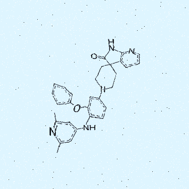 Cc1cc(Nc2ccc(N3CCC4(CC3)C(=O)Nc3ncccc34)cc2Oc2ccccc2)cc(C)n1